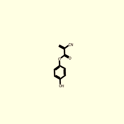 C=C(C#N)C(=O)Oc1ccc(O)cc1